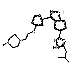 CC(C)Cc1nc(-c2ccc3[nH]nc(-c4cccc(OCCN5CCN(C)CC5)c4)c3c2)n[nH]1